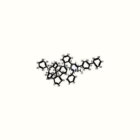 N/C(=C\C(/N=C/c1ccccc1)c1ccccc1-c1ccc2c(c1)C1(c3ccccc3-2)c2ccccc2N(c2ccccc2)c2ccccc21)c1ccc(-c2ccccc2)cc1